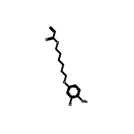 C=CC(=O)OCCCCCCOc1ccc(OC(C)=O)c(Cl)c1